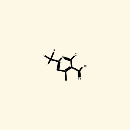 Cc1cc(C(F)(F)F)nc(Cl)c1C(=O)O